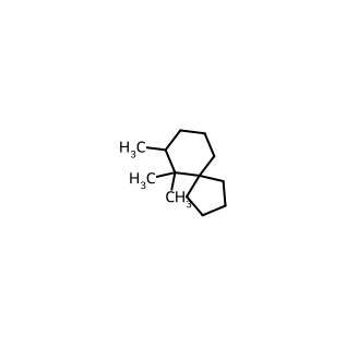 CC1CCCC2(CCCC2)C1(C)C